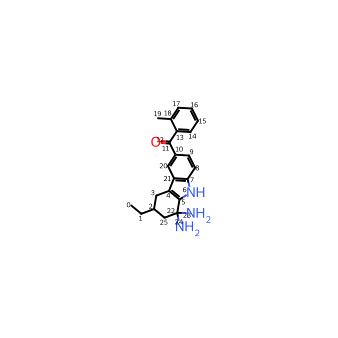 CCC1Cc2c([nH]c3ccc(C(=O)c4ccccc4C)cc23)C(N)(N)C1